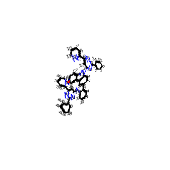 c1ccc(-c2nc(-c3ccccn3)cc(-n3c4ccccc4c4c3ccc3c5ccccc5n(-c5cc(-c6ccccn6)nc(-c6ccccc6)n5)c34)n2)cc1